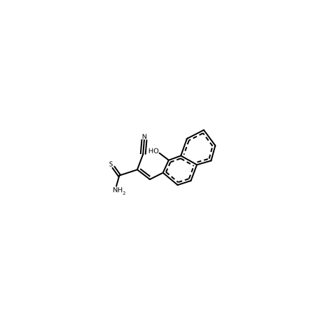 N#CC(=Cc1ccc2ccccc2c1O)C(N)=S